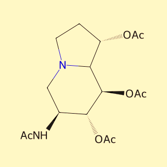 CC(=O)N[C@H]1CN2CC[C@H](OC(C)=O)C2[C@@H](OC(C)=O)[C@@H]1OC(C)=O